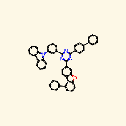 c1ccc(-c2ccc(-c3nc(-c4cccc(-n5c6ccccc6c6ccccc65)c4)nc(-c4ccc5c(c4)oc4cccc(-c6ccccc6)c45)n3)cc2)cc1